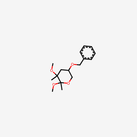 COC1(C)CC(OCc2ccccc2)COC1(C)OC